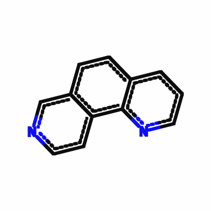 c1cnc2c(c1)ccc1cnccc12